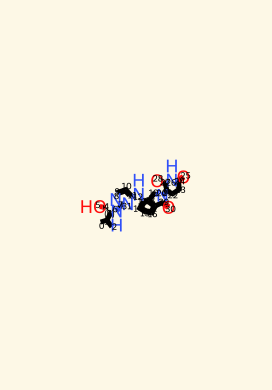 CC(C)[C@H](CO)Nc1nccc(Nc2cccc3c2CN(C2CCC(=O)NC2=O)C3=O)n1